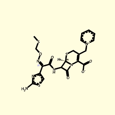 CSCO/N=C(\C(=O)NC1C(=O)N2C(C(=O)[O-])=C(C[n+]3ccccc3)CS[C@H]12)c1csc(N)n1